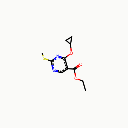 CCOC(=O)c1cnc(SC)nc1OC1CC1